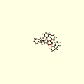 c1ccc(-c2ccc(-c3nc(-c4cccc5oc6ccccc6c45)nc(-c4cccc5oc6ccc7c8ccccc8n(-c8ccccc8)c7c6c45)n3)cc2)cc1